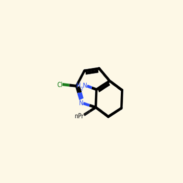 CCCC12CCCC(=C1N)C=CC(Cl)=N2